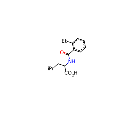 CCc1ccccc1C(=O)NC(CC(C)C)C(=O)O